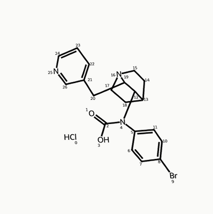 Cl.O=C(O)N(c1ccc(Br)cc1)C1C2CCN(CC2)C1Cc1cccnc1